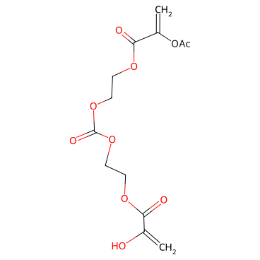 C=C(O)C(=O)OCCOC(=O)OCCOC(=O)C(=C)OC(C)=O